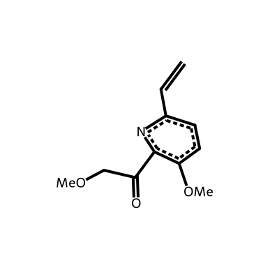 C=Cc1ccc(OC)c(C(=O)COC)n1